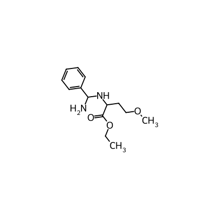 CCOC(=O)C(CCOC)NC(N)c1ccccc1